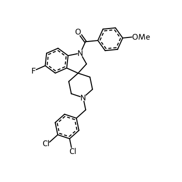 COc1ccc(C(=O)N2CC3(CCN(Cc4ccc(Cl)c(Cl)c4)CC3)c3cc(F)ccc32)cc1